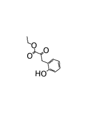 CCOC(=O)C(=O)Cc1ccccc1O